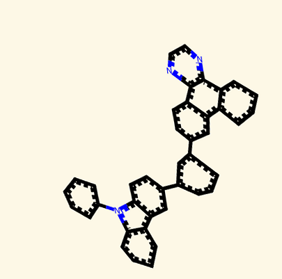 c1ccc(-n2c3ccccc3c3cc(-c4cccc(-c5ccc6c(c5)c5ccccc5c5nccnc65)c4)ccc32)cc1